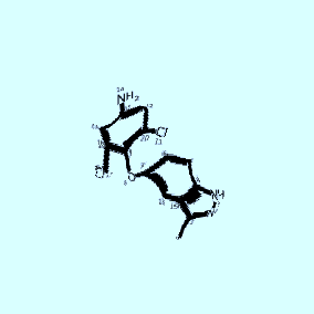 Cc1n[nH]c2ccc(Oc3c(Cl)cc(N)cc3Cl)cc12